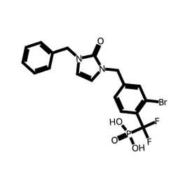 O=c1n(Cc2ccccc2)ccn1Cc1ccc(C(F)(F)P(=O)(O)O)c(Br)c1